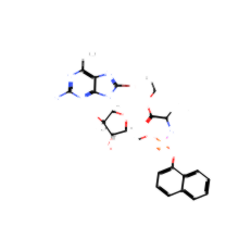 COc1nc(N)nc2c1nc(Br)n2[C@@H]1O[C@H](COP(=O)(NC(C)C(=O)OCC(C)(C)C)Oc2cccc3ccccc23)[C@@H](O)[C@@]1(C)O